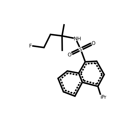 CC(C)c1ccc(S(=O)(=O)NC(C)(C)CCF)c2ccccc12